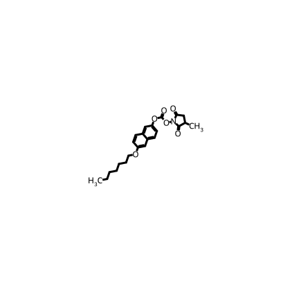 CCCCCCCOc1ccc2cc(OC(=O)ON3C(=O)CC(C)C3=O)ccc2c1